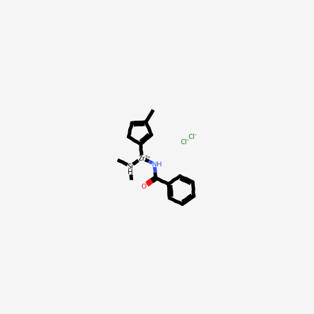 CC1=CC[C]([Zr+2]([NH]C(=O)c2ccccc2)[SiH](C)C)=C1.[Cl-].[Cl-]